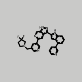 FC1(F)CCN(Cc2cncc(-c3cc4c(-c5cc6c(-c7cccnc7)cccc6[nH]5)n[nH]c4cn3)c2)C1